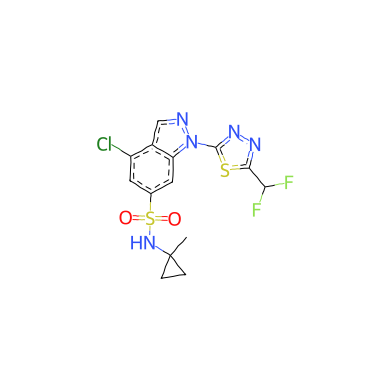 CC1(NS(=O)(=O)c2cc(Cl)c3cnn(-c4nnc(C(F)F)s4)c3c2)CC1